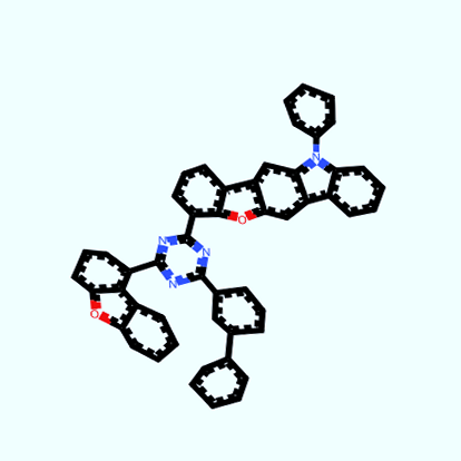 c1ccc(-c2cccc(-c3nc(-c4cccc5c4oc4cc6c7ccccc7n(-c7ccccc7)c6cc45)nc(-c4cccc5oc6ccccc6c45)n3)c2)cc1